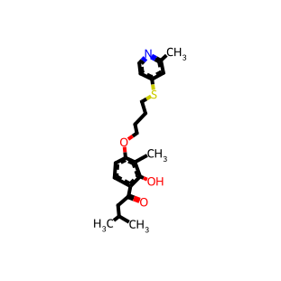 Cc1cc(SCCCCOc2ccc(C(=O)CC(C)C)c(O)c2C)ccn1